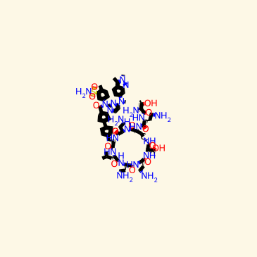 Cc1ccc(N(C(=O)c2ccc(-c3ccc(C[C@H]4NC(=O)C(CCN)NC(=O)[C@@H](NC(=O)[C@H](CCN)NC(=O)[C@@H](N)[C@@H](C)O)CCNC(=O)[C@H]([C@@H](C)O)NC(=O)[C@H](CCN)NC(=O)[C@H](CCN)NC(=O)[C@H](CC(C)C)NC4=O)cc3)cc2)c2nccc(N(C)c3ccc4c(C)n(C)nc4c3)n2)cc1S(N)(=O)=O